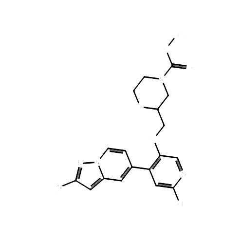 Cc1cc(-c2ccn3nc(N)cc3c2)c(OCC2CN(C(=O)OC(C)(C)C)CCO2)cn1